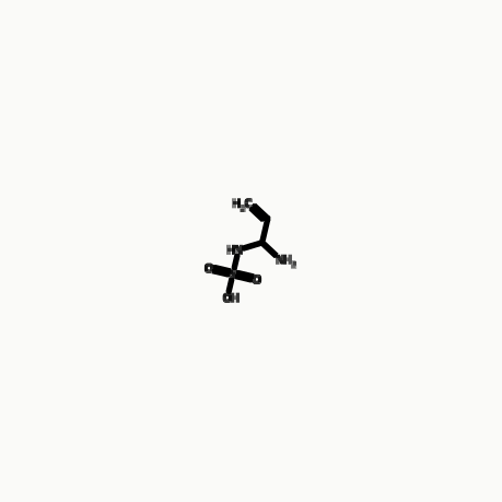 C=CC(N)NS(=O)(=O)O